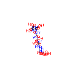 O=C(O)CCC(NC(=O)NC(CCCCNC(=O)CCC(NC(=O)CCC(NC(=O)CCCNC(=O)CN1CCN(CC(=O)O)CCN(CC(=O)O)CCN(CC(=O)O)CC1)C(=O)O)C(=O)O)C(=O)O)C(=O)O